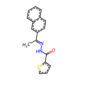 CC(=NNC(=O)c1cccs1)c1ccc2ccccc2c1